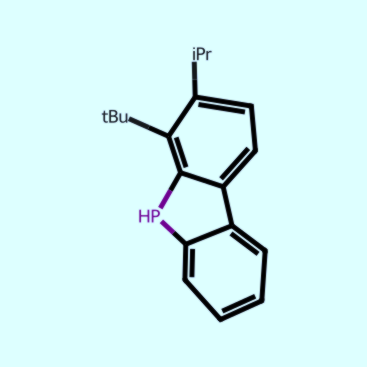 CC(C)c1ccc2c([pH]c3ccccc32)c1C(C)(C)C